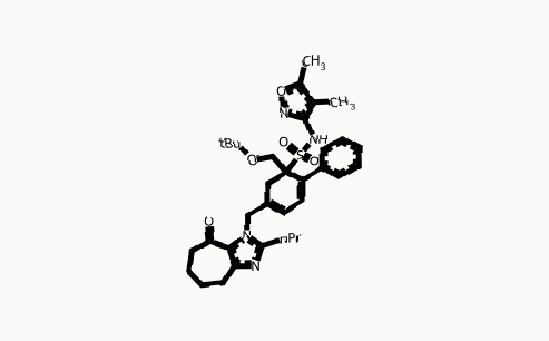 CCCc1nc2c(n1CC1=CC=C(c3ccccc3)C(COC(C)(C)C)(S(=O)(=O)Nc3noc(C)c3C)C1)C(=O)CCCC2